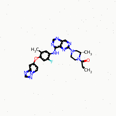 C=CC(=O)N1CCN(c2ncc3ncnc(Nc4cc(C)c(Oc5ccn6ncnc6c5)cc4F)c3n2)C[C@@H]1C